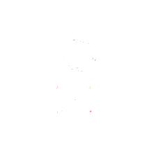 OP(O)(O)=[SH]c1ccccn1